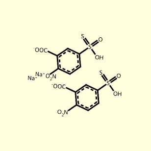 O=C([O-])c1cc(S(=O)(O)=S)ccc1[N+](=O)[O-].O=C([O-])c1cc(S(=O)(O)=S)ccc1[N+](=O)[O-].[Na+].[Na+]